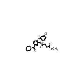 COC(=O)CCC(=O)Nc1cc(C(=O)N2CCCCC2)ccc1Nc1cccc(Cl)c1